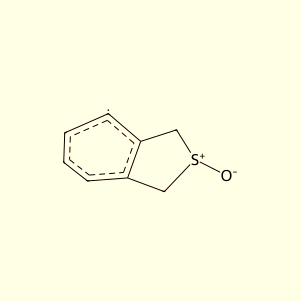 [O-][S+]1Cc2[c]cccc2C1